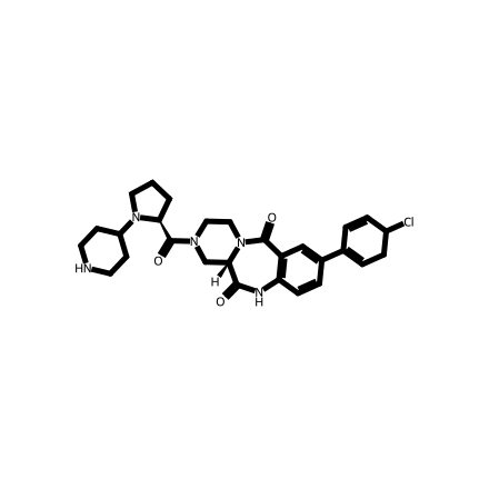 O=C1Nc2ccc(C3=CCC(Cl)C=C3)cc2C(=O)N2CCN(C(=O)[C@@H]3CCCN3C3CCNCC3)C[C@@H]12